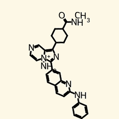 CNC(=O)C1CCC(C2=C3C=NC=C[N+]3(N)C(c3ccc4ccc(Nc5ccccc5)nc4c3)=N2)CC1